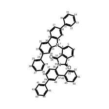 O=C1c2cccc(-n3c4cc(-c5ccccc5)ccc4c4ccc(-c5ccccc5)cc43)c2C(=O)N1c1ccc(-c2ccccc2)cc1-c1ccccc1